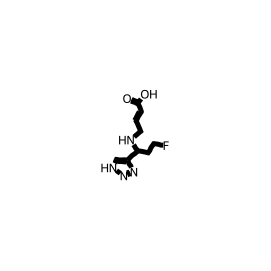 O=C(O)C=CCNC(CCF)c1c[nH]nn1